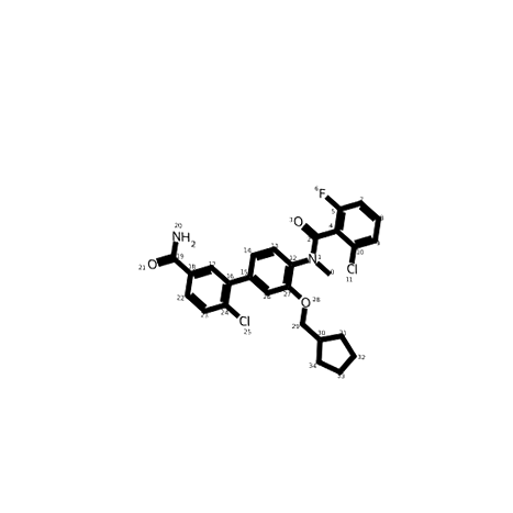 CN(C(=O)c1c(F)cccc1Cl)c1ccc(-c2cc(C(N)=O)ccc2Cl)cc1OCC1CCCC1